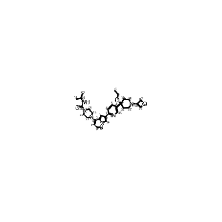 CCOC1(c2ccc(-c3cc4c(N5CCN(C(=O)NC(C)C)CC5)ccnn4c3)nc2)CCN(C2COC2)CC1